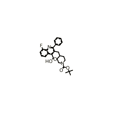 CC(C)(C)OC(=O)N1CCC(Cc2c(-c3ccccc3)nc3c(F)cccc3c2C(=O)O)CC1